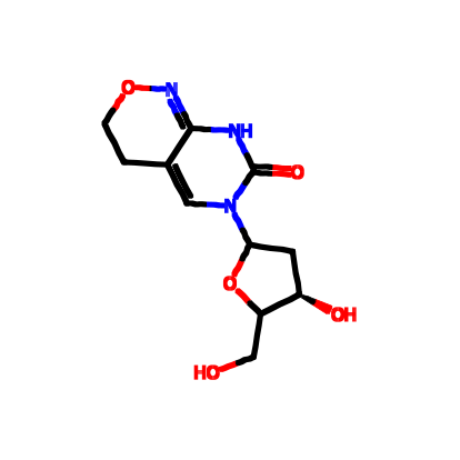 O=C1NC2=NOCCC2=CN1C1C[C@@H](O)C(CO)O1